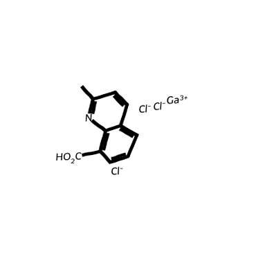 Cc1ccc2cccc(C(=O)O)c2n1.[Cl-].[Cl-].[Cl-].[Ga+3]